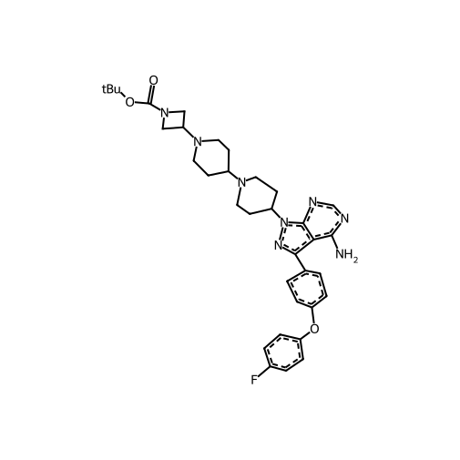 CC(C)(C)OC(=O)N1CC(N2CCC(N3CCC(n4nc(-c5ccc(Oc6ccc(F)cc6)cc5)c5c(N)ncnc54)CC3)CC2)C1